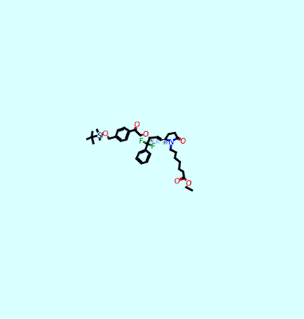 CCOC(=O)CCCCCCN1C(=O)CC[C@@H]1/C=C/[C@@H](OCC(=O)c1ccc(CO[Si](C)(C)C(C)(C)C)cc1)C(F)(F)c1ccccc1